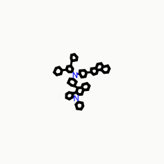 c1ccc(-c2cc(-c3ccccc3)cc(N(c3ccc(-c4ccc5c(ccc6ccccc65)c4)cc3)c3cccc(-c4c5ccccc5cc5c4c4ccccc4n5-c4ccccc4)c3)c2)cc1